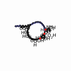 C/C=C/C=C/C(=O)CC(O)CCC(C)C1OC(=O)CC(O)CC(O)CCCC(O)CC(O)CC(O)CC2(O)CC(O)C(C(=O)O)[C@H](CC(OC3O[C@H](C)[C@@H](O)[C@H](N)[C@@H]3O)/C=C/C=C/C=C/C=C\C=C/C=C/C=C/C1C)O2